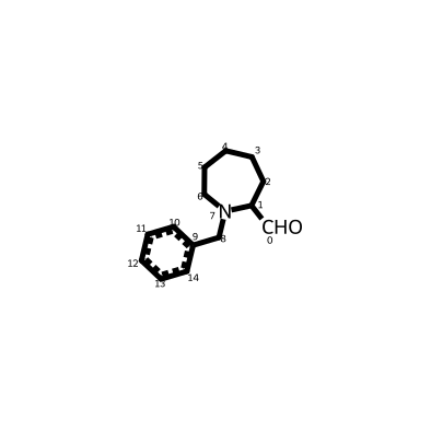 O=CC1CCCCCN1Cc1ccccc1